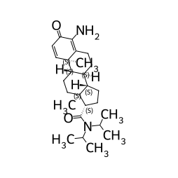 CC(C)N(C(=O)[C@H]1CC[C@H]2[C@@H]3CCC4=C(N)C(=O)C=C[C@]4(C)[C@H]3CC[C@]12C)C(C)C